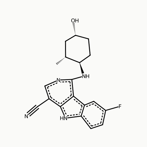 C[C@@H]1C[C@H](O)CC[C@H]1Nc1ncc(C#N)c2[nH]c3ccc(F)cc3c12